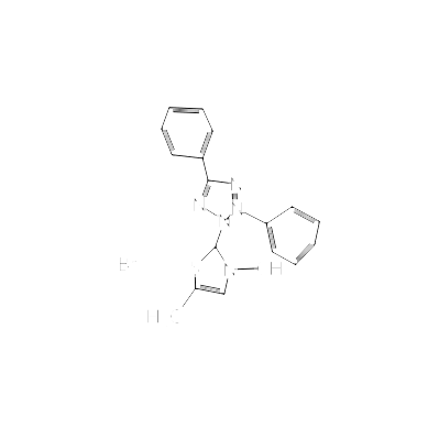 CC1=CN(C)C(n2nc(-c3ccccc3)n[n+]2-c2ccccc2)S1.[Br-]